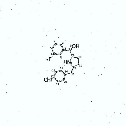 O[C@H](c1cccc(F)c1)[C@H]1CC[C@@H](Cc2ccc(Cl)cc2)N1